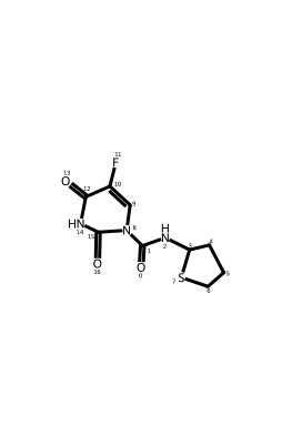 O=C(NC1CCCS1)n1cc(F)c(=O)[nH]c1=O